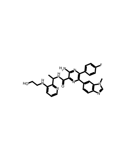 CC(NC(=O)c1nc(-c2ccc3ncn(C)c3c2)c(-c2ccc(F)cc2)nc1N)c1ncccc1NCCO